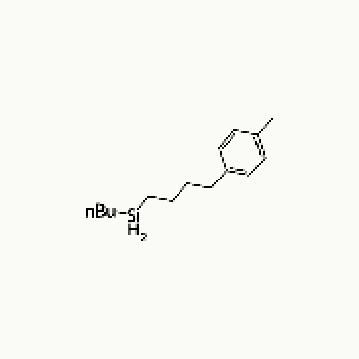 CCCC[SiH2]CCCCc1ccc(C)cc1